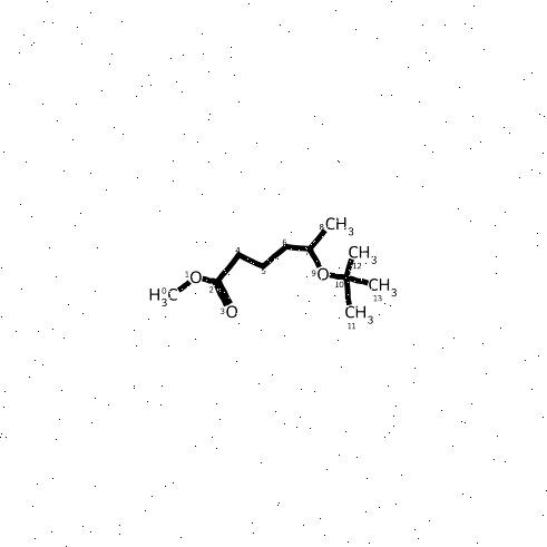 COC(=O)CCCC(C)OC(C)(C)C